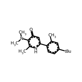 Cc1cc(C(C)(C)C)ccc1-c1cc(=O)c(N(C)C)c(C)[nH]1